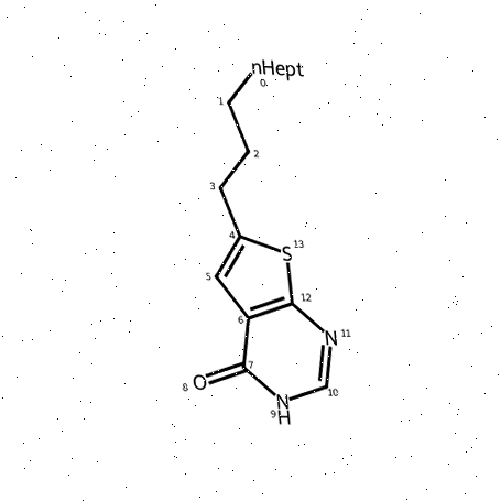 CCCCCCCCCCc1cc2c(=O)[nH]cnc2s1